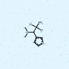 CCC(N)(CC)C(c1ccsc1)N(C)C